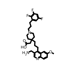 COc1ccc2ncc(CN)c(CCCC3(CC(=O)O)CCN(CCCc4cc(F)cc(F)c4F)CC3)c2c1